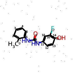 Cc1ccccc1NC(=O)Nc1ccc(O)c(F)c1